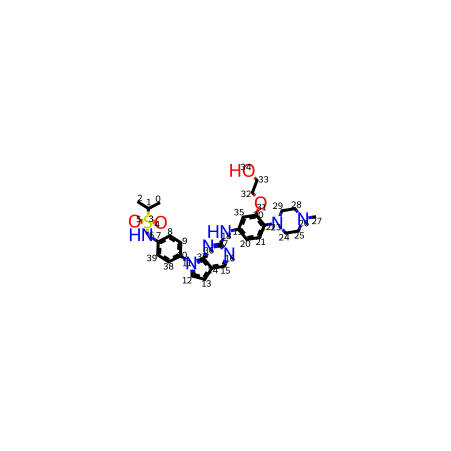 CC(C)S(=O)(=O)Nc1ccc(-n2ccc3cnc(Nc4ccc(N5CCN(C)CC5)c(OCCO)c4)nc32)cc1